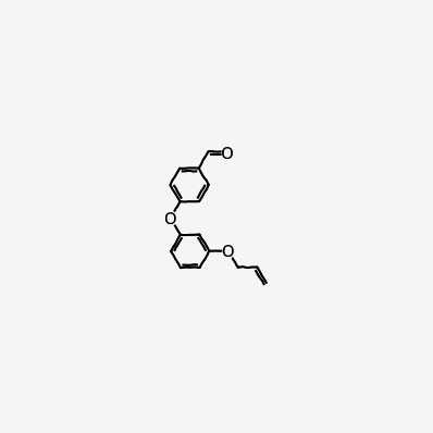 C=CCOc1cccc(Oc2ccc(C=O)cc2)c1